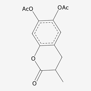 CC(=O)Oc1cc2c(cc1OC(C)=O)OC(=O)C(C)C2